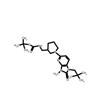 Cn1c(=O)n(CC(C)(C)C)c2ccc(N3CCCC(CNC(=O)OC(C)(C)C)C3)nc21